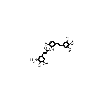 COc1ccc(/C=C/c2cc(OC)c(OC)c(OC)c2)cc1NC(=O)/C=C/c1cc(N)c(OC)c(OC)c1